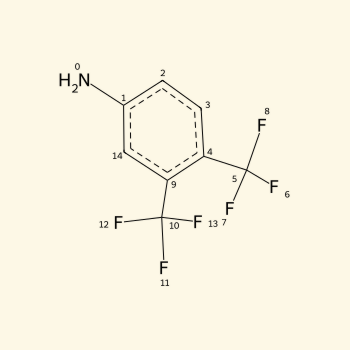 Nc1ccc(C(F)(F)F)c(C(F)(F)F)c1